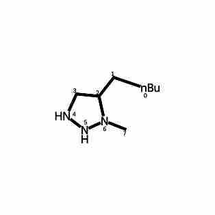 CCCCCC1CNNN1C